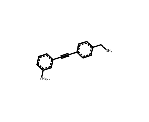 CCCCCCCc1c[c]cc(C#Cc2ccc(CN)cc2)c1